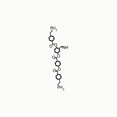 N=Cc1cc(OC(=O)c2ccc(OC(=O)c3ccc(CCP)cc3)cc2)ccc1OC(=O)c1ccc(CCP)cc1